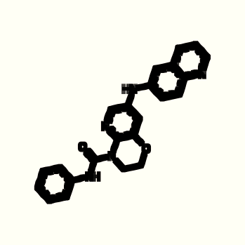 O=C(Nc1ccccc1)N1CCOc2cc(Nc3ccc4ncccc4c3)cnc21